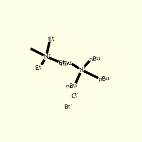 CCCC[N+](CCCC)(CCCC)CCCC.CC[N+](C)(CC)CC.[Br-].[Cl-]